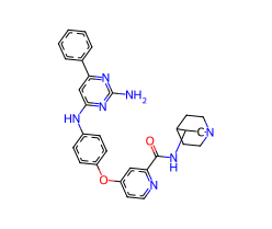 Nc1nc(Nc2ccc(Oc3ccnc(C(=O)NC4CN5CCC4CC5)c3)cc2)cc(-c2ccccc2)n1